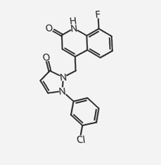 O=c1cc(Cn2c(=O)ccn2-c2cccc(Cl)c2)c2cccc(F)c2[nH]1